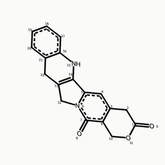 O=C1Cc2cc3n(c(=O)c2CO1)CC1=C3Nc2ccccc2C1